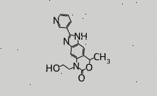 CC1OC(=O)N(CCO)c2cc3nc(-c4cccnc4)[nH]c3cc21